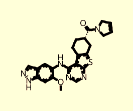 COc1cc2[nH]ncc2cc1Nc1ncnc2sc3c(c12)CC[C@H](C(=O)N1CC=CC1)C3